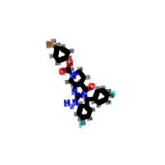 Nc1nc2c(c(=O)n1C(c1ccc(F)cc1)c1ccc(F)cc1)CCN(C(=O)Oc1ccc(Br)cc1)C2